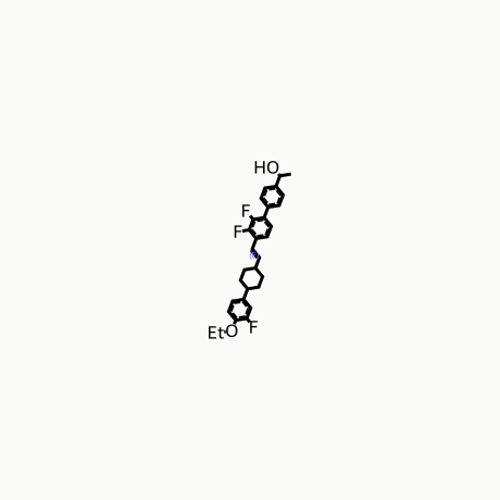 CCOc1ccc(C2CCC(/C=C/c3ccc(-c4ccc(C(C)O)cc4)c(F)c3F)CC2)cc1F